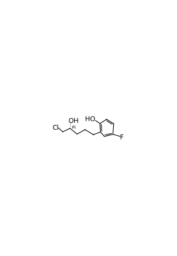 Oc1ccc(F)cc1CCC[C@@H](O)CCl